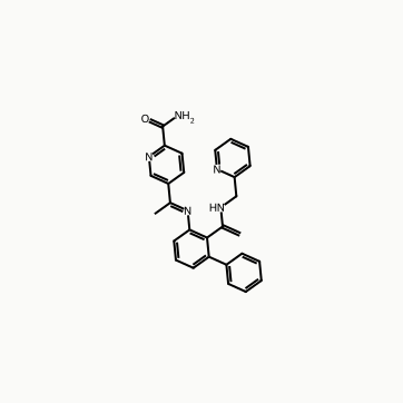 C=C(NCc1ccccn1)c1c(/N=C(\C)c2ccc(C(N)=O)nc2)cccc1-c1ccccc1